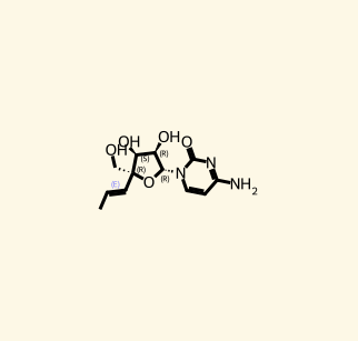 C/C=C/[C@]1(CO)O[C@@H](n2ccc(N)nc2=O)[C@H](O)[C@@H]1O